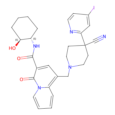 N#CC1(c2cc(I)ccn2)CCN(Cc2cc(C(=O)N[C@H]3CCCC[C@@H]3O)c(=O)n3ccccc23)CC1